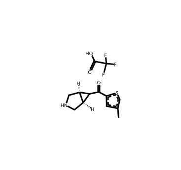 Cc1csc(C(=O)C2[C@H]3CNC[C@@H]23)c1.O=C(O)C(F)(F)F